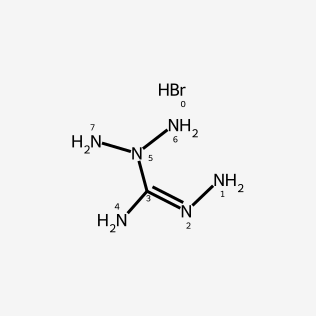 Br.NN=C(N)N(N)N